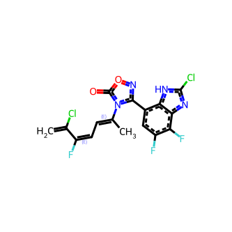 C=C(Cl)/C(F)=C\C=C(/C)n1c(-c2cc(F)c(F)c3nc(Cl)[nH]c23)noc1=O